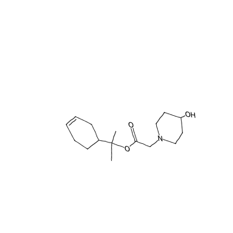 CC(C)(OC(=O)CN1CCC(O)CC1)C1CC=CCC1